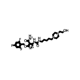 NC(=O)c1c(OCc2c(F)cc(F)cc2F)nsc1NC(=O)NCCCCCN1CCN(CCO)CC1